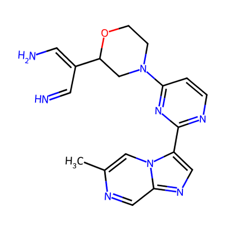 Cc1cn2c(-c3nccc(N4CCOC(/C(C=N)=C/N)C4)n3)cnc2cn1